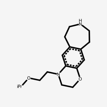 CC(C)OCCN1CCOc2cc3c(cc21)CCNCC3